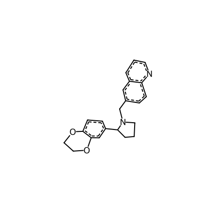 c1cnc2ccc(CN3CCCC3c3ccc4c(c3)OCCO4)cc2c1